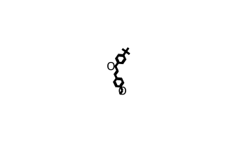 COc1ccc(C=CC(=O)c2ccc(C(C)(C)C)cc2)cc1